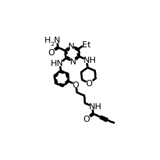 CC#CC(=O)NCCCOc1cccc(Nc2nc(NC3CCOCC3)c(CC)nc2C(N)=O)c1